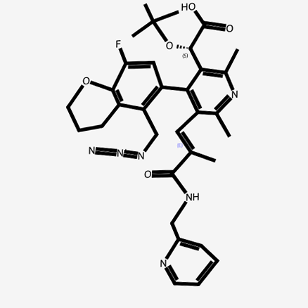 C/C(=C\c1c(C)nc(C)c([C@H](OC(C)(C)C)C(=O)O)c1-c1cc(F)c2c(c1CN=[N+]=[N-])CCCO2)C(=O)NCc1ccccn1